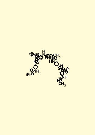 CC(C)OC(=O)NC1CCC(c2ncc(-c3ccc(Nc4cc(CC(C)OC(=O)N[C@H]5CC[C@H](c6ncc(-c7ccc(Nc8cn(C)nn8)cc7S(=O)(=O)C7CC7)s6)CC5)[nH]n4)cc3S(=O)(=O)NC(C)(C)C)s2)CC1